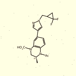 CC(=O)N1c2ccc(-c3cnn(CC4CC4(F)F)c3)cc2N(C(=O)O)C[C@@H]1C